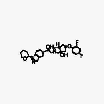 O[C@@H](CN1C[C@@H]2C[C@@H](Oc3ccc(F)cc3F)C[C@]2(O)C1)c1ccc2c(cnn2C2CCCCO2)c1